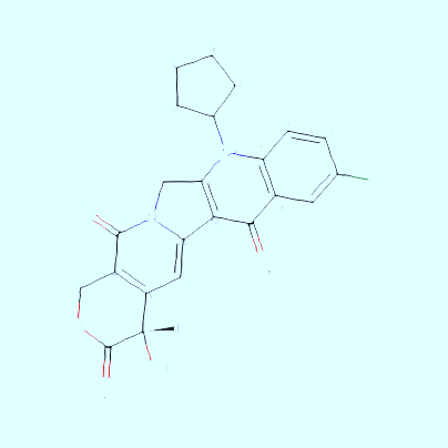 CC[C@@]1(O)C(=O)OCc2c1cc1n(c2=O)Cc2c-1c(=O)c1cc(Cl)ccc1n2C1CCCC1